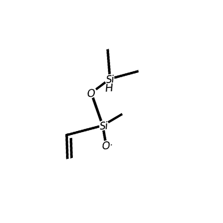 C=C[Si](C)([O])O[SiH](C)C